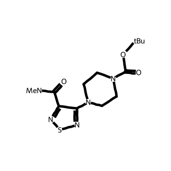 CNC(=O)c1nsnc1N1CCN(C(=O)OC(C)(C)C)CC1